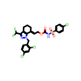 O=C(NS(=O)(=O)c1ccc(Cl)cc1)OC/C=C1\CCCc2c(C(F)F)nn(Cc3ccc(Cl)cc3Cl)c21